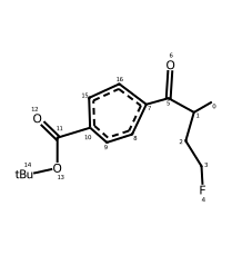 CC(CCF)C(=O)c1ccc(C(=O)OC(C)(C)C)cc1